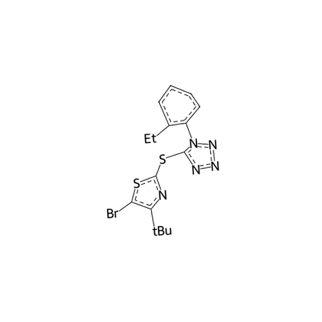 CCc1ccccc1-n1nnnc1Sc1nc(C(C)(C)C)c(Br)s1